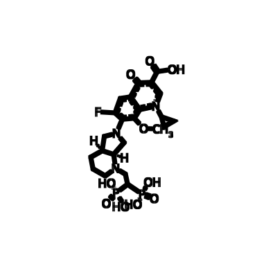 COc1c(N2C[C@@H]3CCCN(CC(P(=O)(O)O)P(=O)(O)O)[C@@H]3C2)c(F)cc2c(=O)c(C(=O)O)cn(C3CC3)c12